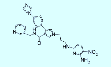 Nc1nc(NCCCn2cc(C(=O)NCc3cccnc3)c(-c3ccc(-n4ccnc4)cc3)c2)ccc1[N+](=O)[O-]